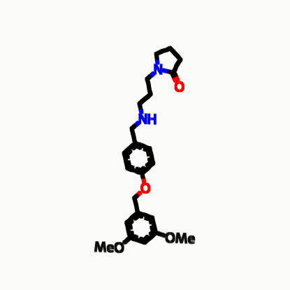 COc1cc(COc2ccc(CNCCCN3CCCC3=O)cc2)cc(OC)c1